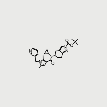 Cc1cc(C(=O)N(C2CC2)C2CCc3nn(C(=O)OC(C)(C)C)cc3C2)c(C)n1Cc1cccnc1